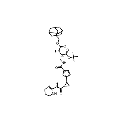 CC(C)(C)OC(=O)[C@H](CNC(=O)c1ccc(C2CC2C(=O)NC2=NCCCN2)s1)NC(=O)OCC12CC3CC(CC(C3)C1)C2